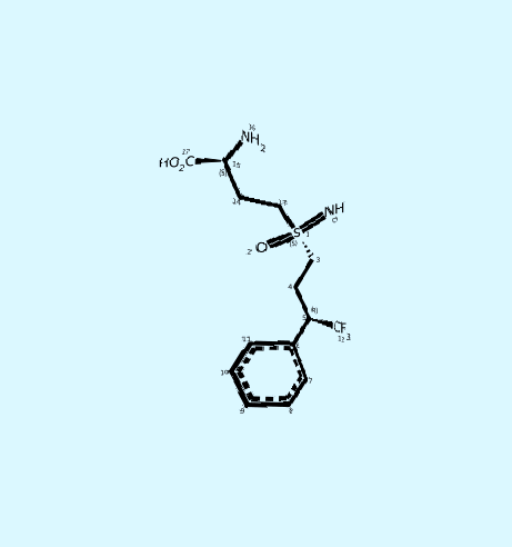 N=[S@](=O)(CC[C@H](c1ccccc1)C(F)(F)F)CC[C@H](N)C(=O)O